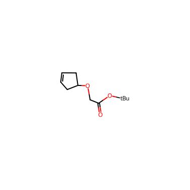 CC(C)(C)OC(=O)COC1CC=CC1